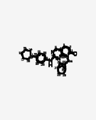 O=c1ccc2cnc(Nc3ccc(N4CCCCC4)cc3)nc2n1CC1CC2CCC1C2